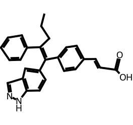 CCCC(=C(c1ccc(C=CC(=O)O)cc1)c1ccc2[nH]ncc2c1)c1ccccc1